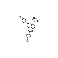 O=C(CC(CC(=O)c1ccc(Cl)cc1)c1cccc(-c2nnn[nH]2)c1)c1ccc(Cl)cc1